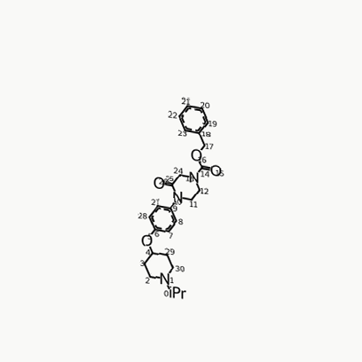 CC(C)N1CCC(Oc2ccc(N3CCN(C(=O)OCc4ccccc4)CC3=O)cc2)CC1